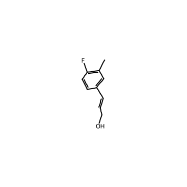 Cc1cc(C=CCO)ccc1F